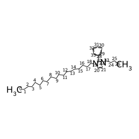 CCCCCCCCCCCCCCCCCCCN1C=CN(CCCC)C1c1ccccc1